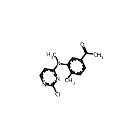 CC(=O)c1ccc(C)c(N(C)c2ccnc(Cl)n2)c1